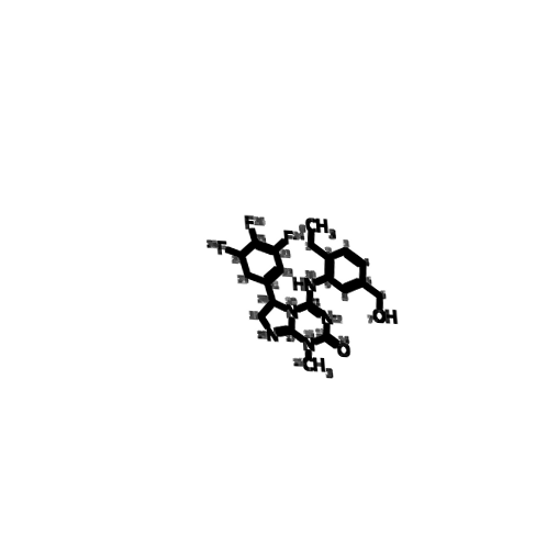 CCc1ccc(CO)cc1NC1=NC(=O)N(C)C2=NCC(C3=CC(F)=C(F)C(F)C3)N12